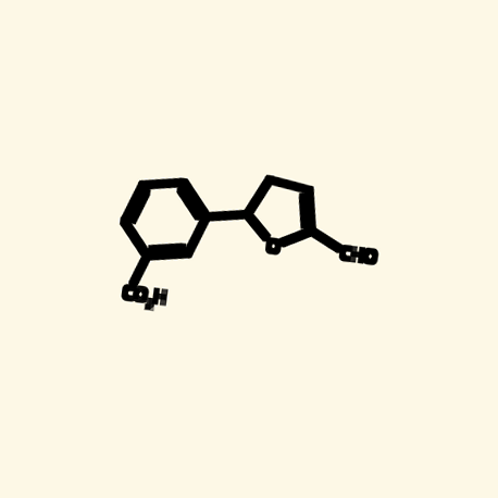 O=CC1=CCC(c2cccc(C(=O)O)c2)O1